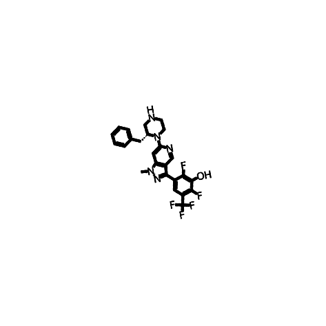 Cn1nc(-c2cc(C(F)(F)F)c(F)c(O)c2F)c2cnc(N3CCNC[C@H]3Cc3ccccc3)cc21